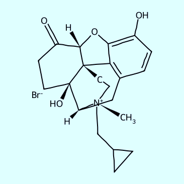 C[N@+]1(CC2CC2)CC[C@]23c4c5ccc(O)c4O[C@H]2C(=O)CC[C@@]3(O)[C@H]1C5.[Br-]